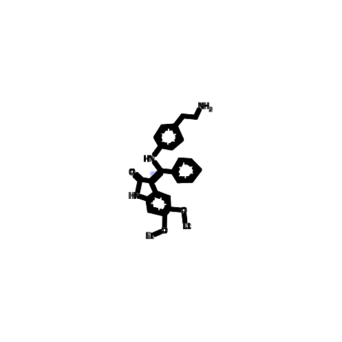 CCOc1cc2c(cc1OCC)/C(=C(/Nc1ccc(CCN)cc1)c1ccccc1)C(=O)N2